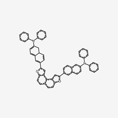 C1=CC2CC(N(c3ccccc3)c3ccccc3)=CC=C2C=C1c1cc2c(ccc3ccc4oc(-c5ccc6cc(N(c7ccccc7)c7ccccc7)ccc6c5)cc4c32)o1